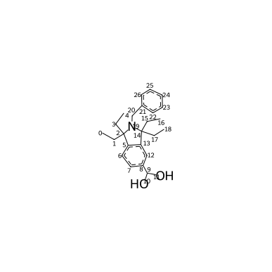 CCC1(CC)c2ccc(C(O)O)cc2C(CC)(CC)N1Cc1ccccc1